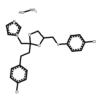 Clc1ccc(CCC2(Cn3ccnc3)OCC(CSc3ccc(Cl)cc3)O2)cc1.O=[N+]([O-])O